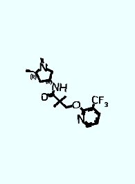 C[C@@H]1C[C@@H](NC(=O)C(C)(C)COc2ncccc2C(F)(F)F)CN1C